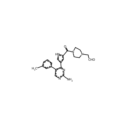 Cc1cccc(-c2cnc(N)nc2-c2c[nH]c(C(=O)N3CCN(CC=O)CC3)c2)c1